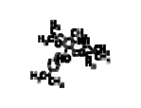 Cc1c2c(c(C(O)Cc3ccc(C(C)C)cc3)c(C)c1NC(=O)CC(C)(C)C)OC(C)(C)C2